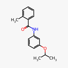 Cc1ccccc1C(=O)Nc1cccc(OC(C)C)c1